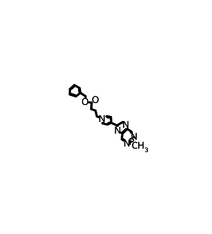 CP1N=Cc2ncc(-c3cc[n+](CCCC(=O)OCc4ccccc4)cc3)nc2C=N1